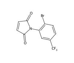 O=C1C=CC(=O)N1c1cc(C(F)(F)F)ccc1Br